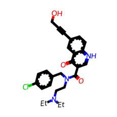 CCN(CC)CCN(Cc1ccc(Cl)cc1)C(=O)c1c[nH]c2ccc(C#CCO)cc2c1=O